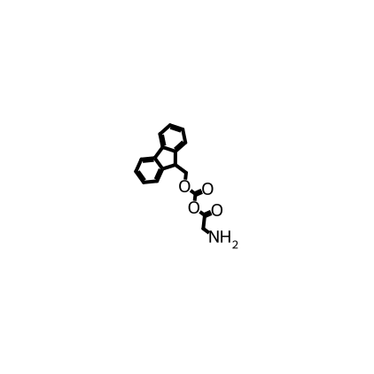 NCC(=O)OC(=O)OCC1c2ccccc2-c2ccccc21